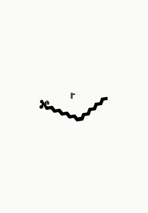 CCCCCCCC/C=C\CCCCCCCC[N+](C)(C)C.[I-]